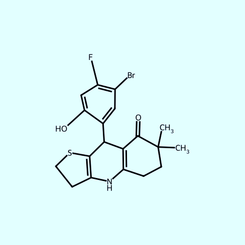 CC1(C)CCC2=C(C1=O)C(c1cc(Br)c(F)cc1O)C1=C(CCS1)N2